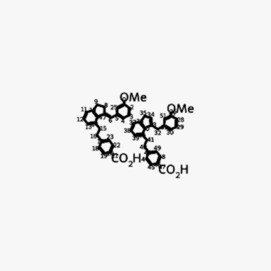 COc1cccc(C=C2CCc3cccc(CCc4ccc(C(=O)O)cc4)c32)c1.COc1cccc(CC2=CCc3cccc(CCc4ccc(C(=O)O)cc4)c32)c1